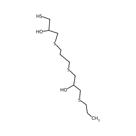 CCCSCC(O)CSCCCSCC(O)CS